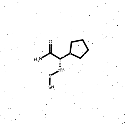 NC(=O)[C@@H](NSS)C1CCCC1